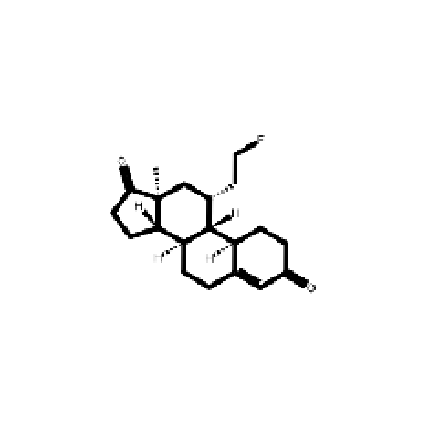 C[C@]12C[C@H](CCF)[C@H]3[C@@H](CCC4=CC(=O)CC[C@@H]43)[C@@H]1CCC2=O